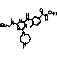 CCONC(=O)c1ccc(C)c(Nc2nc(N(C)CC(C)(C)C)nc(N3CCCN(C)CC3)n2)c1